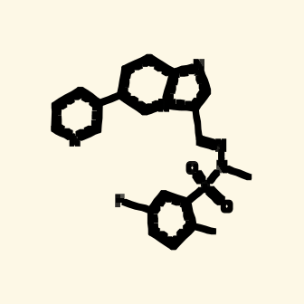 Cc1ccc(F)cc1S(=O)(=O)N(C)N=Cc1cnc2ccc(-c3cccnc3)cn12